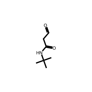 CC(C)(C)NC(=O)CC=O